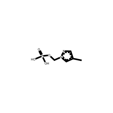 Cc1cnn(COP(=O)(O)O)c1